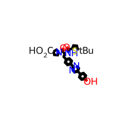 CC(C)(C)c1ccc(C(=O)NC(Cc2ccc(-c3ncc(-c4ccc(O)cc4)cn3)cc2)C(=O)N2CCC(C(=O)O)C2)s1